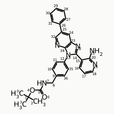 CC(C)(C)OC(=O)NCc1ccc(-n2c(-c3cccnc3N)nc3cc(-c4ccccc4)cnc32)cc1